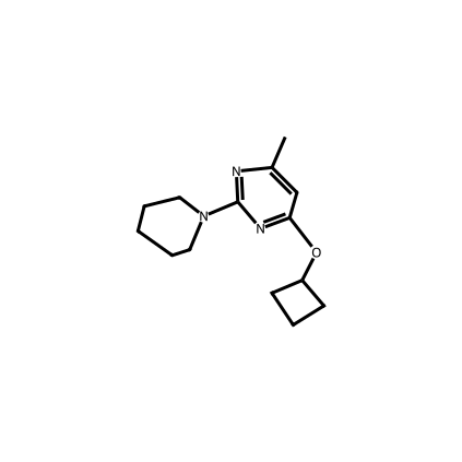 Cc1cc(OC2CCC2)nc(N2CCCCC2)n1